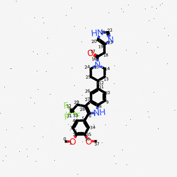 COc1ccc(-c2[nH]c3ccc(C4CCN(C(=O)Cc5c[nH]cn5)CC4)cc3c2CC(F)(F)F)cc1OC